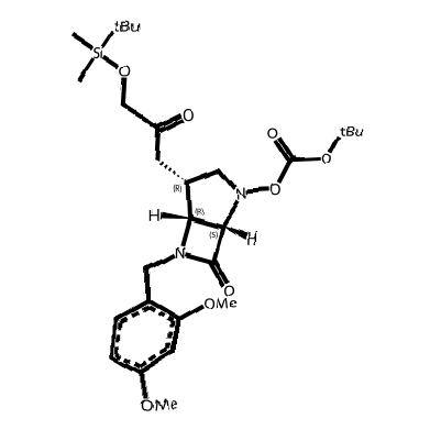 COc1ccc(CN2C(=O)[C@@H]3[C@H]2[C@H](CC(=O)CO[Si](C)(C)C(C)(C)C)CN3OC(=O)OC(C)(C)C)c(OC)c1